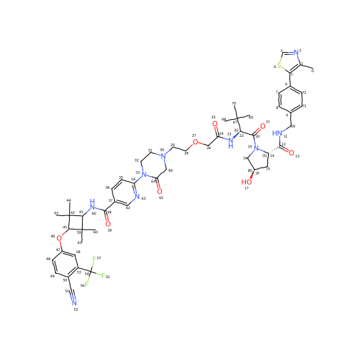 Cc1ncsc1-c1ccc(CNC(=O)[C@@H]2C[C@@H](O)CN2C(=O)[C@@H](NC(=O)COCCN2CCN(c3ccc(C(=O)NC4C(C)(C)C(Oc5ccc(C#N)c(C(F)(F)F)c5)C4(C)C)cn3)C(=O)C2)C(C)(C)C)cc1